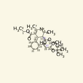 CCOC(=O)C1=C(C)N=C(C)/C(=C(/O)OCC)C1c1ccccc1/C=C/C(=O)OC(C)(C)C